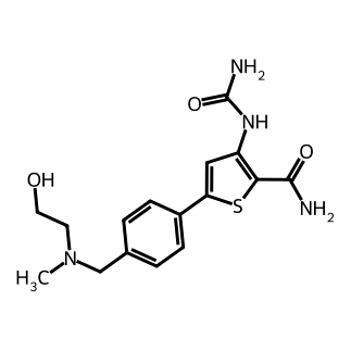 CN(CCO)Cc1ccc(-c2cc(NC(N)=O)c(C(N)=O)s2)cc1